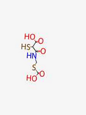 O=C(O)SCNC(=O)C(S)C(=O)O